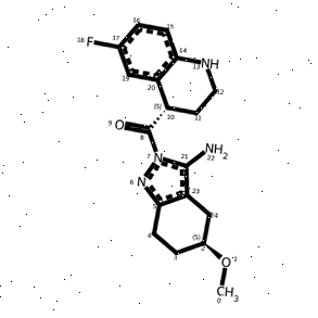 CO[C@H]1CCc2nn(C(=O)[C@H]3CCNc4ccc(F)cc43)c(N)c2C1